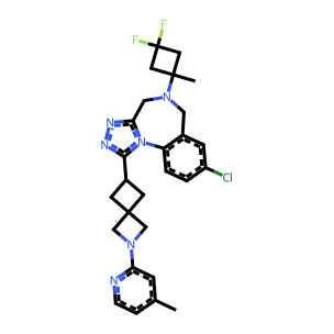 Cc1ccnc(N2CC3(CC(c4nnc5n4-c4ccc(Cl)cc4CN(C4(C)CC(F)(F)C4)C5)C3)C2)c1